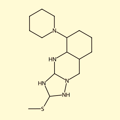 CSC1NC2NC3C(CCCC3N3CCCCC3)CN2N1